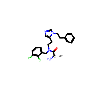 CC(C)[C@H](N)C(=O)N(CCc1cncn1CCc1ccccc1)Cc1cccc(Cl)c1Cl